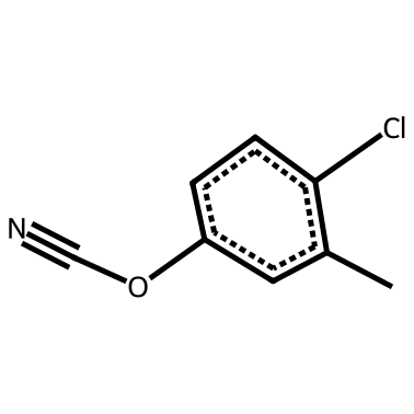 Cc1cc(OC#N)ccc1Cl